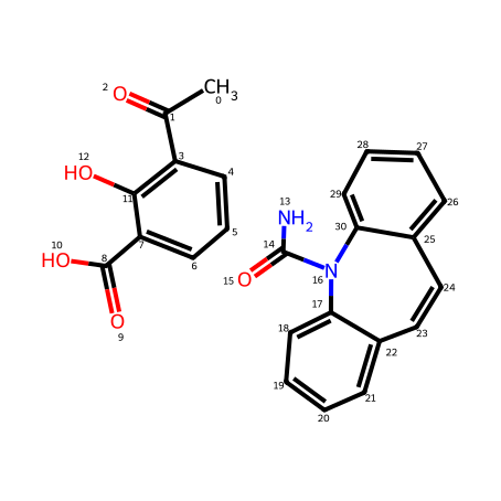 CC(=O)c1cccc(C(=O)O)c1O.NC(=O)N1c2ccccc2C=Cc2ccccc21